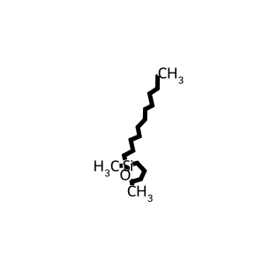 CCCCCCCCCCCC[Si]1(C)CCCC(C)O1